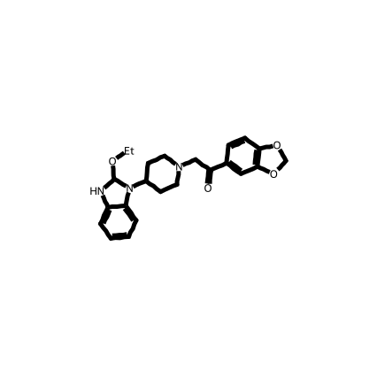 CCOC1Nc2ccccc2N1C1CCN(CC(=O)c2ccc3c(c2)OCO3)CC1